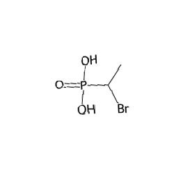 CC(Br)P(=O)(O)O